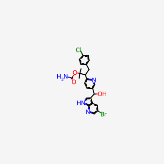 CC(C)(OC(N)=O)C(Cc1ccc(Cl)cc1)c1ccc(C(O)c2c[nH]c3ncc(Br)cc23)cn1